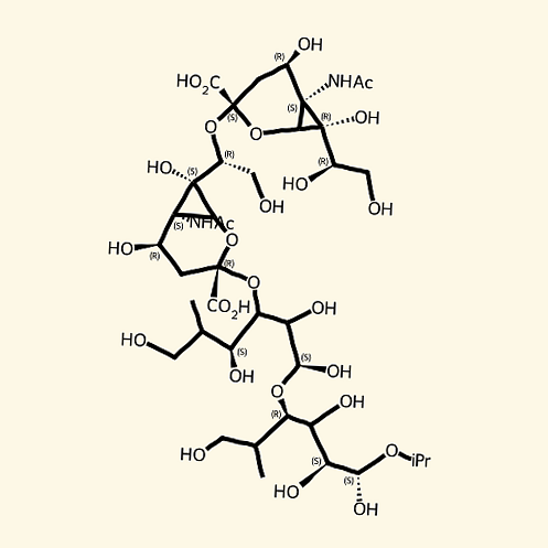 CC(=O)N[C@]12C(O[C@@](O[C@H](CO)[C@@]3(O)C4O[C@@](OC(C(O)[C@@H](O)O[C@H](C(C)CO)C(O)[C@H](O)[C@@H](O)OC(C)C)[C@@H](O)C(C)CO)(C(=O)O)C[C@@H](O)[C@]43NC(C)=O)(C(=O)O)C[C@H]1O)[C@]2(O)[C@H](O)CO